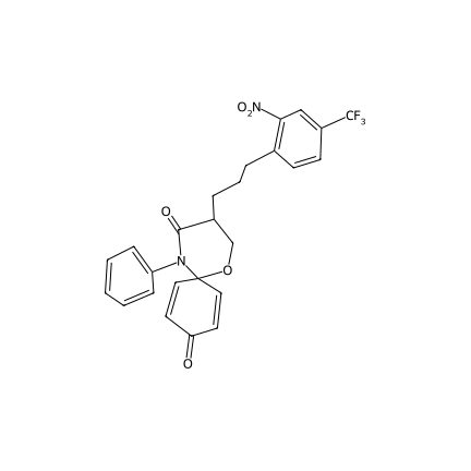 O=C1C=CC2(C=C1)OCC(CCCc1ccc(C(F)(F)F)cc1[N+](=O)[O-])C(=O)N2c1ccccc1